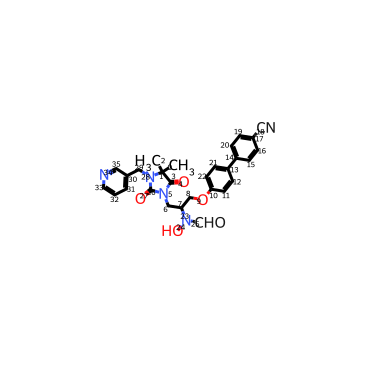 CC1(C)C(=O)N(CC(COc2ccc(-c3ccc(C#N)cc3)cc2)N(O)C=O)C(=O)N1Cc1cccnc1